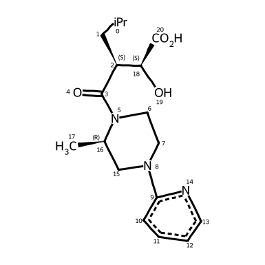 CC(C)C[C@H](C(=O)N1CCN(c2ccccn2)C[C@H]1C)[C@H](O)C(=O)O